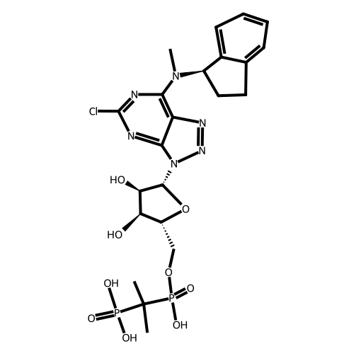 CN(c1nc(Cl)nc2c1nnn2[C@@H]1O[C@H](COP(=O)(O)C(C)(C)P(=O)(O)O)[C@@H](O)[C@H]1O)[C@@H]1CCc2ccccc21